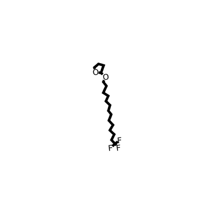 FC(F)(F)CCCCCCCCCCCCCOC1CCCO1